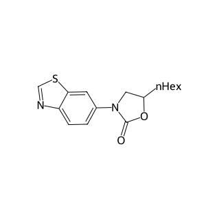 CCCCCCC1CN(c2ccc3ncsc3c2)C(=O)O1